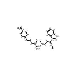 Cl.O=C=C(CCN1CCN(CC=Cc2ccc([N+](=O)[O-])cc2)CC1)c1csc2ccccc12